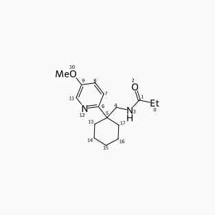 CCC(=O)NCC1(c2ccc(OC)cn2)CCCCC1